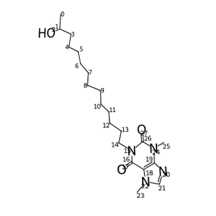 CC(O)CCCCCCCCCCCCn1c(=O)c2c(ncn2C)n(C)c1=O